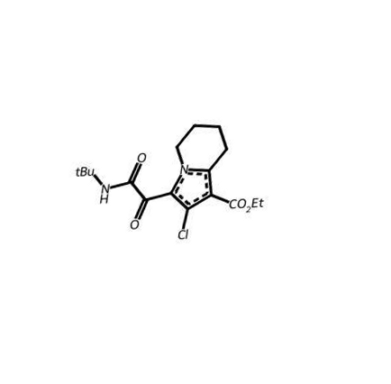 CCOC(=O)c1c(Cl)c(C(=O)C(=O)NC(C)(C)C)n2c1CCCC2